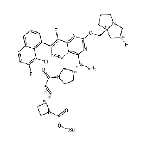 CN(c1nc(OC[C@@]23CCCN2C[C@H](F)C3)nc2c(F)c(-c3cccc4ccc(F)c(Cl)c34)ncc12)[C@@H]1CCN(C(=O)/C=C/[C@H]2CCN2C(=O)OC(C)(C)C)C1